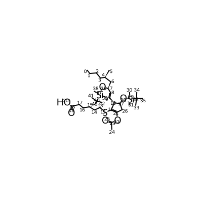 CCCC[C@@H](C)C[C@@H](/C=C/[C@@H]1C(SCCCCCC(=O)O)=C(OC(C)=O)C[C@H]1O[Si](C)(C)C(C)(C)C)O[Si](C)(C)C(C)(C)C